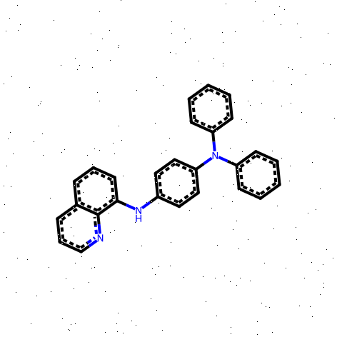 c1ccc(N(c2ccccc2)c2ccc(Nc3cccc4cccnc34)cc2)cc1